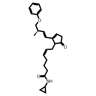 C[C@H](/C=C/C1=CCC(=O)C1C/C=C\CCCC(=O)NC1CC1)COc1ccccc1